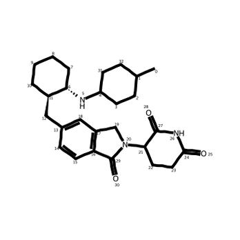 CC1CCC(N[C@H]2CCCC[C@@H]2Cc2ccc3c(c2)CN(C2CCC(=O)NC2=O)C3=O)CC1